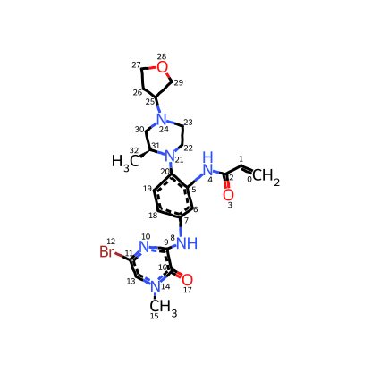 C=CC(=O)Nc1cc(Nc2nc(Br)cn(C)c2=O)ccc1N1CCN(C2CCOC2)C[C@@H]1C